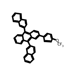 FC(F)(F)Oc1ccc(-c2ccc3c(-c4ccc5ccccc5c4)c4ccccc4c(-c4ccc5ccccc5c4)c3c2)cc1